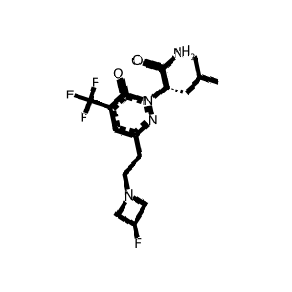 CC(C)C[C@@H](C(N)=O)n1nc(CCN2CC(F)C2)cc(C(F)(F)F)c1=O